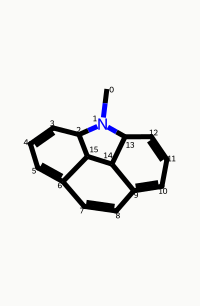 CN1C2C=CC=C3C=CC4=CC=CC1C4C32